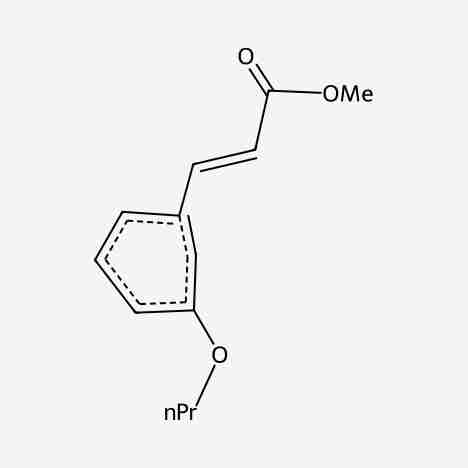 CCCOc1cccc(C=CC(=O)OC)c1